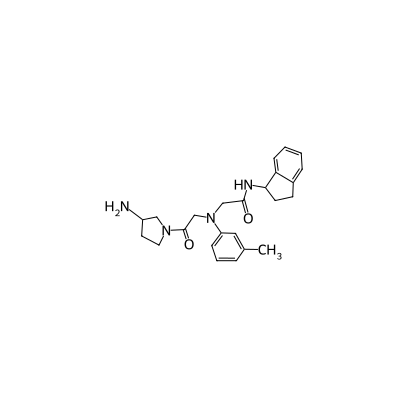 Cc1cccc(N(CC(=O)NC2CCc3ccccc32)CC(=O)N2CCC(N)C2)c1